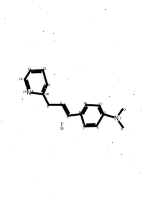 CN(C)c1ccc(C=CCC2=CC=CC=[N+]2)cc1.[I-]